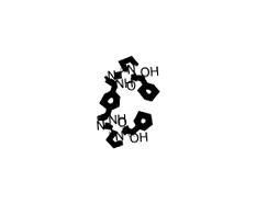 O=C([C@H](O)c1ccccc1)N1CCC[C@H]1c1ncc(-c2ccc(-c3cnc([C@@H]4CCCN4C(=O)[C@H](O)c4ccccc4)[nH]3)cc2)[nH]1